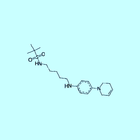 CC(C)(C)S(=O)(=O)NCCCCCNc1ccc(N2CC=CCC2)cc1